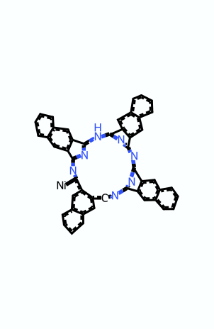 [Ni]=[c]1nc2nc([nH]c3nc(nc4nc(n[cH-]c5cc6ccccc6cc15)-c1cc5ccccc5cc1-4)-c1cc4ccccc4cc1-3)-c1cc3ccccc3cc1-2